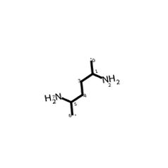 [CH2]C(N)CCC([CH2])N